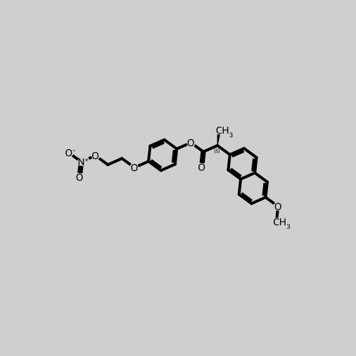 COc1ccc2cc([C@H](C)C(=O)Oc3ccc(OCCO[N+](=O)[O-])cc3)ccc2c1